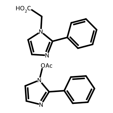 CC(=O)On1ccnc1-c1ccccc1.O=C(O)Cn1ccnc1-c1ccccc1